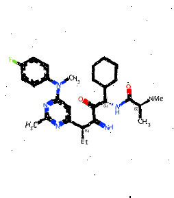 CC[C@H](C(=N)C(=O)[C@@H](NC(=O)[C@H](C)NC)C1CCCCC1)c1cc(N(C)c2ccc(F)cc2)nc(C)n1